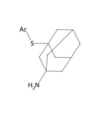 CC(=O)SC12CC3CC(CC(N)(C3)C1)C2